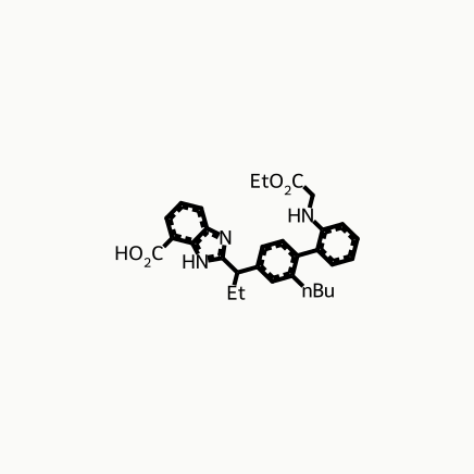 CCCCc1cc(C(CC)c2nc3cccc(C(=O)O)c3[nH]2)ccc1-c1ccccc1NCC(=O)OCC